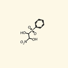 O=[N+]([O-])C(O)C(O)S(=O)(=O)c1ccccc1